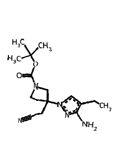 CCc1cn(C2(CC#N)CN(C(=O)OC(C)(C)C)C2)nc1N